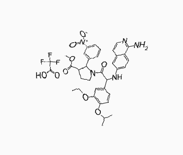 CCOc1cc(C(Nc2ccc3c(N)nccc3c2)C(=O)N2CCC(C(=O)OC)C2c2cccc([N+](=O)[O-])c2)ccc1OC(C)C.O=C(O)C(F)(F)F